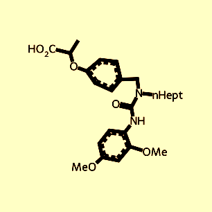 CCCCCCCN(Cc1ccc(OC(C)C(=O)O)cc1)C(=O)Nc1ccc(OC)cc1OC